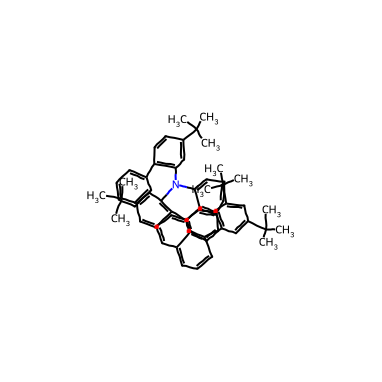 CC(C)(C)c1cc(-c2cccc3cccc(-c4ccccc4N(c4cc(C(C)(C)C)ccc4-c4ccccc4)c4cc(C(C)(C)C)ccc4-c4ccccc4)c23)cc(C(C)(C)C)c1